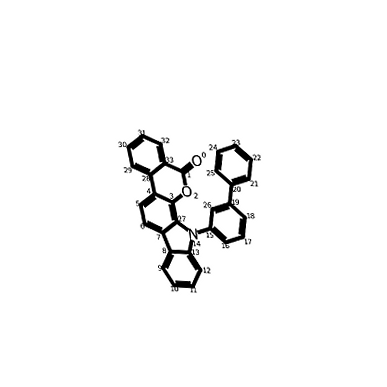 O=c1oc2c(ccc3c4ccccc4n(-c4cccc(-c5ccccc5)c4)c32)c2ccccc12